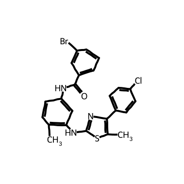 Cc1ccc(NC(=O)c2cccc(Br)c2)cc1Nc1nc(-c2ccc(Cl)cc2)c(C)s1